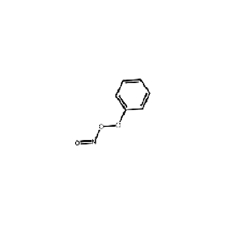 O=NOOc1ccccc1